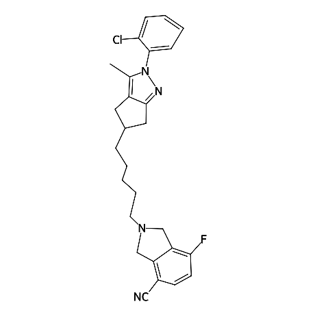 Cc1c2c(nn1-c1ccccc1Cl)CC(CCCCCN1Cc3c(F)ccc(C#N)c3C1)C2